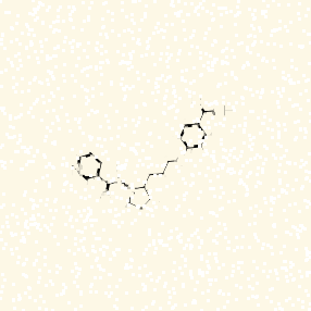 CC(=O)c1ccc(OCCCC2CCCN2NC(=O)c2cccnc2)cc1